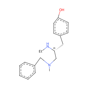 CCN[C@H](Cc1ccc(O)cc1)CN(C)Cc1ccccc1